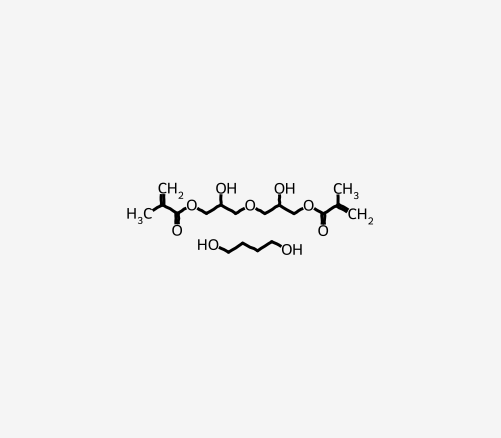 C=C(C)C(=O)OCC(O)COCC(O)COC(=O)C(=C)C.OCCCCO